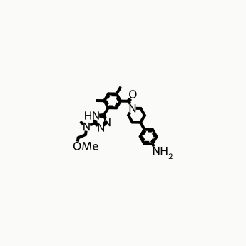 COCCN(C)c1nnc(-c2cc(C(=O)N3CCC(c4ccc(N)cc4)CC3)c(C)cc2C)[nH]1